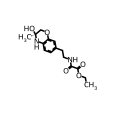 CCOC(=O)C(=O)NCCc1ccc2c(c1)OC[C@](C)(O)N2